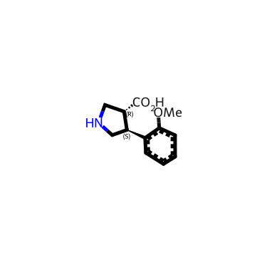 COc1ccccc1[C@H]1CNC[C@@H]1C(=O)O